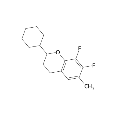 Cc1cc2c(c(F)c1F)OC(C1CCCCC1)CC2